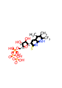 Cc1c2cc([C@@H]3O[C@H](COP(=O)(O)OP(=O)(O)OP(=O)(O)O)[C@H](O)C3O)c(=S)nc-2[nH]c(C(F)(F)F)c1C